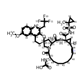 COc1ccc2nc(CC(F)(F)F)c3c(c2c1)CC[C@]1(C[C@H]2C(=O)N[C@]4(C(=O)NS(=O)(=O)C5(C)CC5)C[C@H]4/C=C\CCCCC[C@H](NC(=O)O)C(=O)N2C1)O3